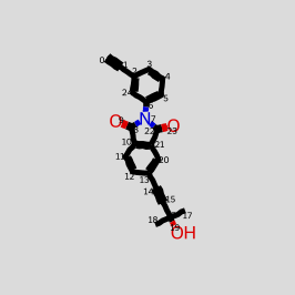 C#Cc1cccc(N2C(=O)c3ccc(C#CC(C)(C)O)cc3C2=O)c1